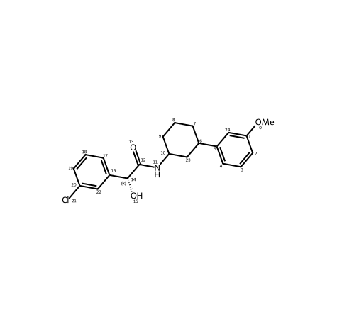 COc1cccc(C2CCCC(NC(=O)[C@H](O)c3cccc(Cl)c3)C2)c1